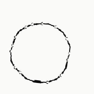 [CH]1C=CCCCCCCCCCCCCCCCCCCCCC1